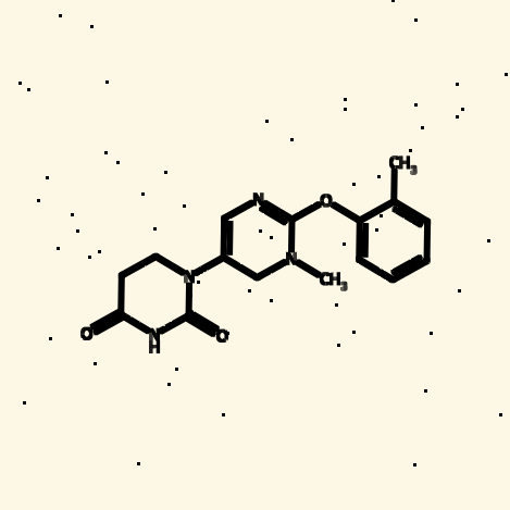 Cc1ccccc1OC1=NC=C(N2CCC(=O)NC2=O)CN1C